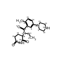 C=NN(C(=O)c1cc(N2CCNCC2)ccc1C)C1CCC(=O)NC1=O